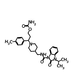 Cc1ccc(C(CCOC(N)=O)N2CCC(CNC(=O)n3c(=O)n(C(C)C)c4ccccc43)CC2)cc1